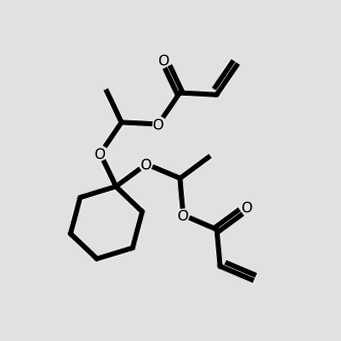 C=CC(=O)OC(C)OC1(OC(C)OC(=O)C=C)CCCCC1